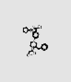 CCc1nn(C2CCCC2)c2cc(N3CCN(C(=O)CO)C(Cc4ccccc4)C3)ccc12